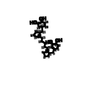 Oc1ccc(CC2CCCN2CCCCCN2CCCC2Cc2ccc(O)c(O)c2)cc1O